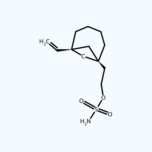 C=C[C@]12CCCC[C@](CCOS(N)(=O)=O)(C1)C2